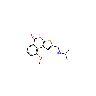 COc1cccc2c(=O)[nH]c3sc(CNC(C)C)cc3c12